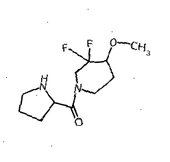 COC1CCN(C(=O)C2CCCN2)CC1(F)F